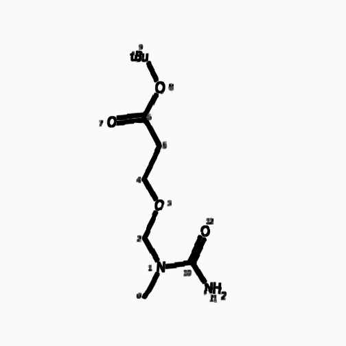 CN(COCCC(=O)OC(C)(C)C)C(N)=O